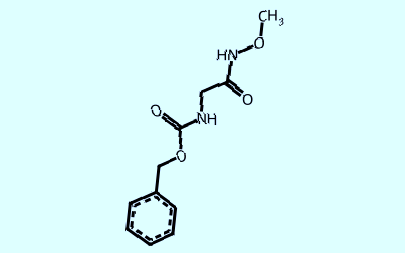 CONC(=O)CNC(=O)OCc1ccccc1